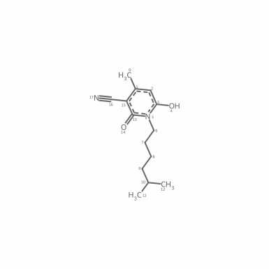 Cc1cc(O)n(CCCCC(C)C)c(=O)c1C#N